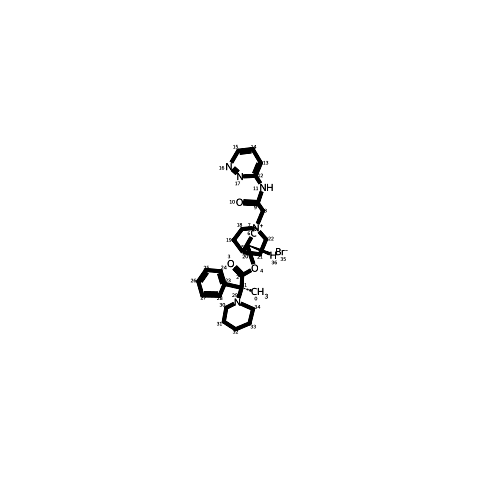 C[C@@](C(=O)O[C@H]1C[N+]2(CC(=O)Nc3cccnn3)CCC1CC2)(c1ccccc1)N1CCCCC1.[Br-]